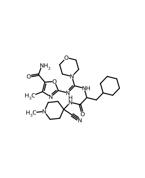 Cc1nc(N=C(NC(CC2CCCCC2)C(=O)NC2(C#N)CCN(C)CC2)N2CCOCC2)oc1C(N)=O